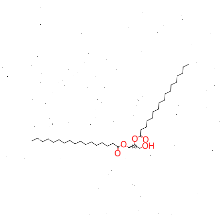 CCCCCCCCCCCCCCCCC(=O)OC[C@H](CO)OC(=O)CCCCCCCCCCCCCCCC